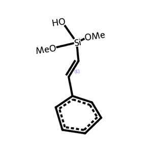 CO[Si](O)(/C=C/c1ccccc1)OC